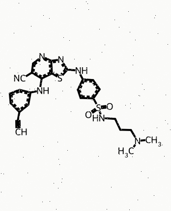 C#Cc1cccc(Nc2c(C#N)cnc3nc(Nc4ccc(S(=O)(=O)NCCCN(C)C)cc4)sc23)c1